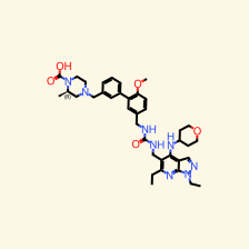 CCc1nc2c(cnn2CC)c(NC2CCOCC2)c1CNC(=O)NCc1ccc(OC)c(-c2cccc(CN3CCN(C(=O)O)[C@H](C)C3)c2)c1